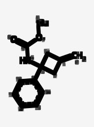 C=C1CC(NC(=O)OC(C)(C)C)(c2ccccc2)C1